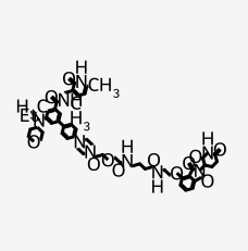 CCN(c1cc(-c2ccc(N3CCN(C(=O)COCC(=O)NCCCC(=O)NCCOc4cccc5c4C(=O)N(C4CCC(=O)NC4=O)C5=O)CC3)cc2)cc(C(=O)NCc2c(C)cc(C)[nH]c2=O)c1C)C1CCOCC1